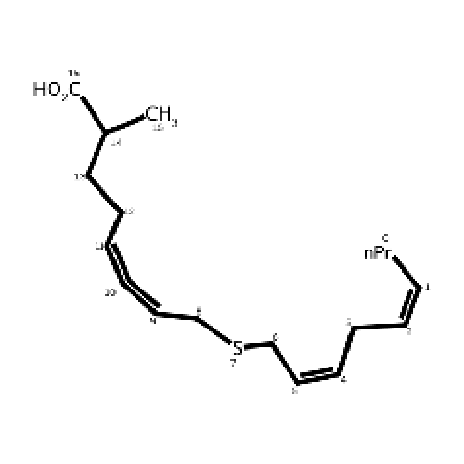 CCC/C=C\C/C=C\CSCC=C=CCCC(C)C(=O)O